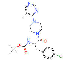 Cc1cncnc1N1CCN(C(=O)C(Cc2ccc(Cl)cc2)NC(=O)OC(C)(C)C)CC1